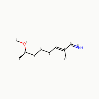 CO[C@H](C)CCC/C=C(\C)C=N